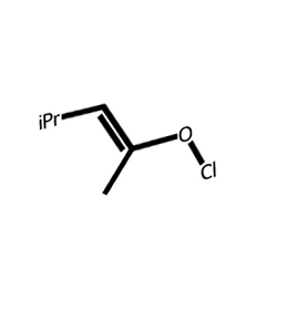 C/C(=C\C(C)C)OCl